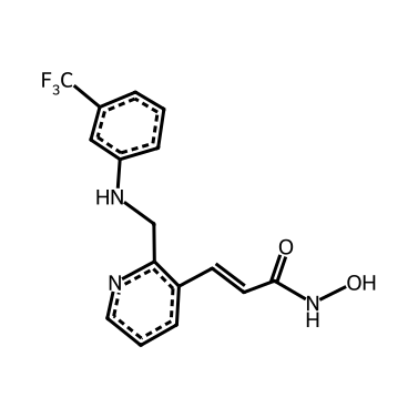 O=C(C=Cc1cccnc1CNc1cccc(C(F)(F)F)c1)NO